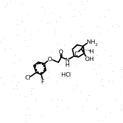 Cl.NC12CCC(NC(=O)COc3ccc(Cl)c(F)c3)(CC1)C[C@@H]2O